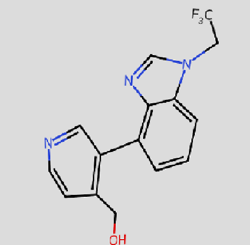 OCc1ccncc1-c1cccc2c1ncn2CC(F)(F)F